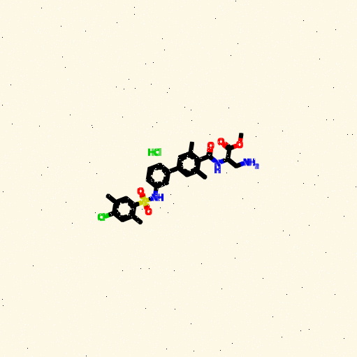 COC(=O)C(CN)NC(=O)c1c(C)cc(-c2cccc(NS(=O)(=O)c3cc(C)c(Cl)cc3C)c2)cc1C.Cl